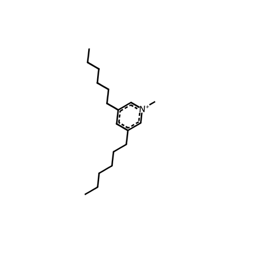 CCCCCCc1cc(CCCCCC)c[n+](C)c1